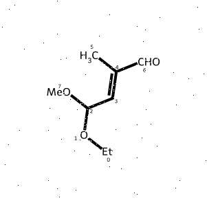 CCOC(C=C(C)C=O)OC